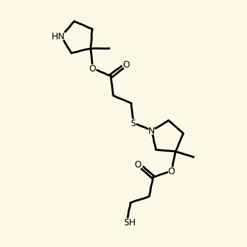 CC1(OC(=O)CCSN2CCC(C)(OC(=O)CCS)C2)CCNC1